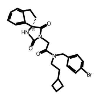 O=C(CN1C(=O)N[C@]2(CCc3ccccc32)C1=O)N(CCC1CCC1)Cc1ccc(Br)cc1